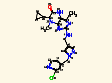 Cc1nc(NCc2cnn(Cc3ccnc(Cl)c3)c2)nc2c1NC(=O)[C@H](C1CC1)N2C